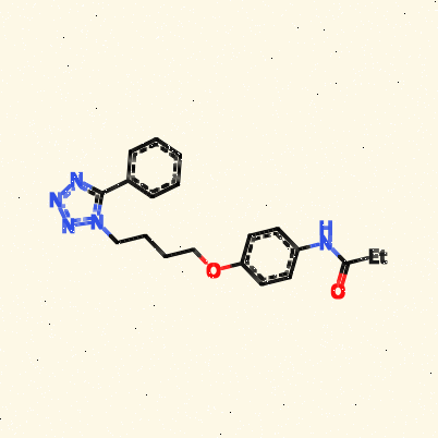 CCC(=O)Nc1ccc(OCCCCn2nnnc2-c2ccccc2)cc1